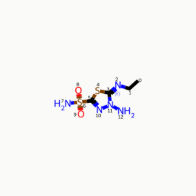 CC/N=c1/sc(S(N)(=O)=O)nn1N